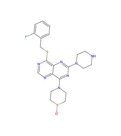 [O-][S+]1CCN(c2nc(N3CCNCC3)nc3c(SCc4ccccc4F)ncnc23)CC1